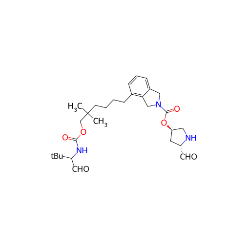 CC(C)(CCCCc1cccc2c1CN(C(=O)O[C@H]1CN[C@H](C=O)C1)C2)COC(=O)NC(C=O)C(C)(C)C